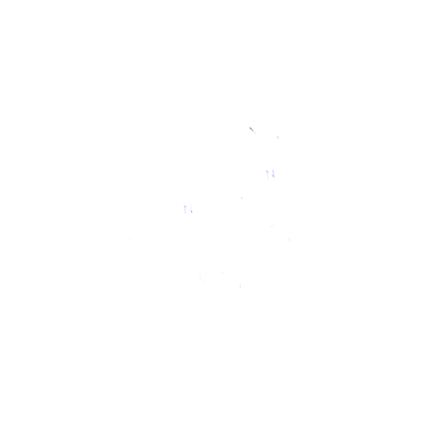 COC(=O)c1cc(C2CCCN2c2cccc(F)c2)c2oc(N3CCO[C@H](C)C3)cc(=O)c2c1